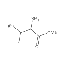 CCC(C)C(C)C(N)C(=O)OC